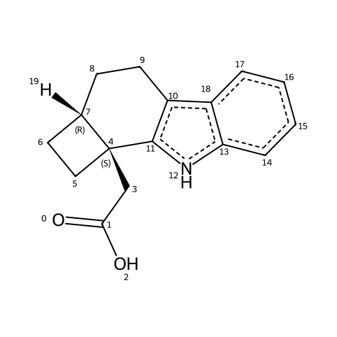 O=C(O)C[C@@]12CC[C@@H]1CCc1c2[nH]c2ccccc12